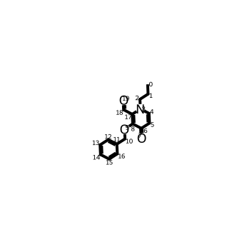 CCCn1ccc(=O)c(OCc2ccccc2)c1C=O